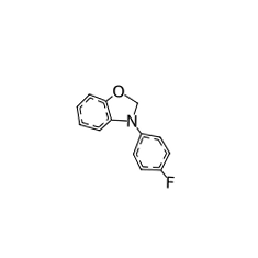 Fc1ccc(N2COc3ccccc32)cc1